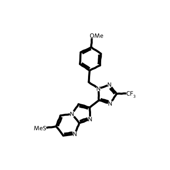 COc1ccc(Cn2nc(C(F)(F)F)nc2-c2cn3cc(SC)cnc3n2)cc1